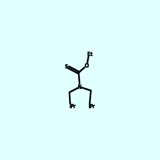 CCOC(=S)N(CC(C)C)CC(C)C